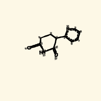 O=C1CCC(c2ccccn2)C(=O)N1